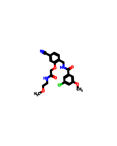 COCCNC(=O)COc1cc(C#N)ccc1CNC(=O)c1cc(Cl)cc(OC)c1